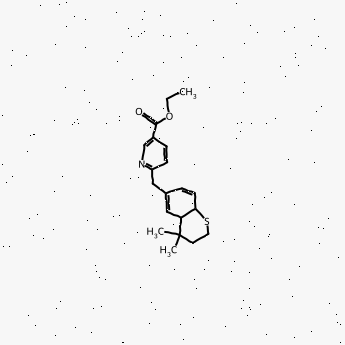 CCOC(=O)c1ccc(CC2=CC3C(C=C2)SCCC3(C)C)nc1